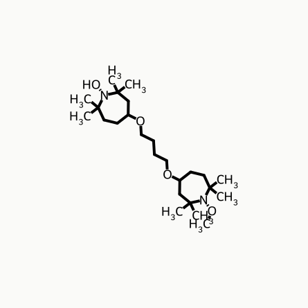 CON1C(C)(C)CCC(OCCCCOC2CCC(C)(C)N(O)C(C)(C)C2)CC1(C)C